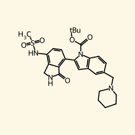 CC(C)(C)OC(=O)n1c(-c2ccc(NS(C)(=O)=O)c3c2C(=O)NC3)cc2cc(CN3CCCCC3)ccc21